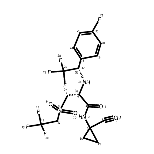 C#CC1(NC(=O)[C@H](CS(=O)(=O)CC(F)(F)F)N[C@@H](c2ccc(F)cc2)C(F)(F)F)CC1